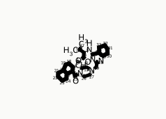 COC(=O)[C@@H](Nc1nc(CN2CCN(C(=O)c3cccc4ccccc34)CC2)nc2ccccc12)C(C)C